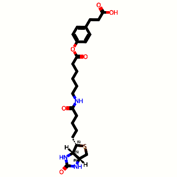 O=C(O)CCc1ccc(OC(=O)CCCCCNC(=O)CCCC[C@@H]2SC[C@@H]3NC(=O)N[C@@H]32)cc1